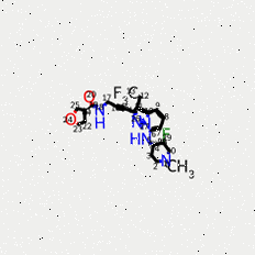 CN1CC[C@@H](Nc2cccc3c(CC(F)(F)F)c(C#CCNC(=O)[C@H]4CCOC4)nn23)[C@@H](F)C1